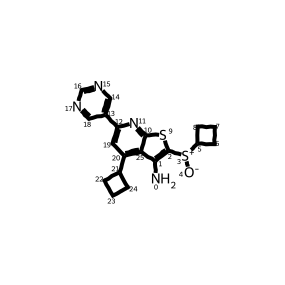 Nc1c([S+]([O-])C2CCC2)sc2nc(-c3cncnc3)cc(C3CCC3)c12